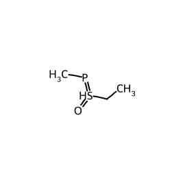 CC[SH](=O)=PC